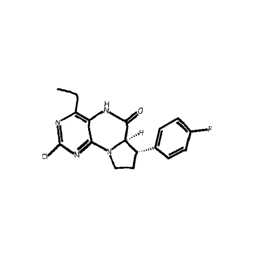 CCc1nc(Cl)nc2c1NC(=O)[C@H]1[C@H](c3ccc(F)cc3)CCN21